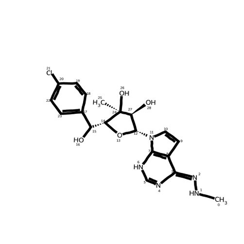 CNN=c1nc[nH]c2c1ccn2[C@@H]1O[C@H](C(O)c2ccc(Cl)cc2)[C@@](C)(O)[C@H]1O